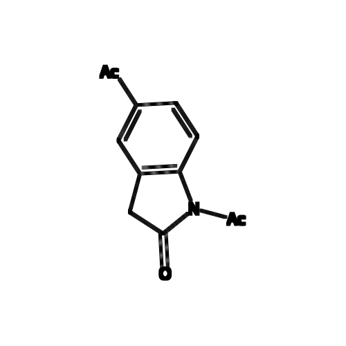 CC(=O)c1ccc2c(c1)CC(=O)N2C(C)=O